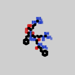 N=C(N)NCCC[C@H](NC(=O)[C@H](Cc1ccccc1)NC(=O)[C@H](CCCNC(=N)N)NC(=O)CNC(=O)[C@@H](N)Cc1ccccc1)C(=O)O